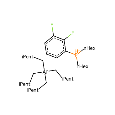 CCCC(C)[CH2][Al-]([CH2]C(C)CCC)([CH2]C(C)CCC)[CH2]C(C)CCC.CCCCCC[PH+](CCCCCC)c1cccc(F)c1F